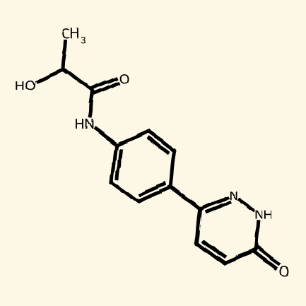 CC(O)C(=O)Nc1ccc(-c2ccc(=O)[nH]n2)cc1